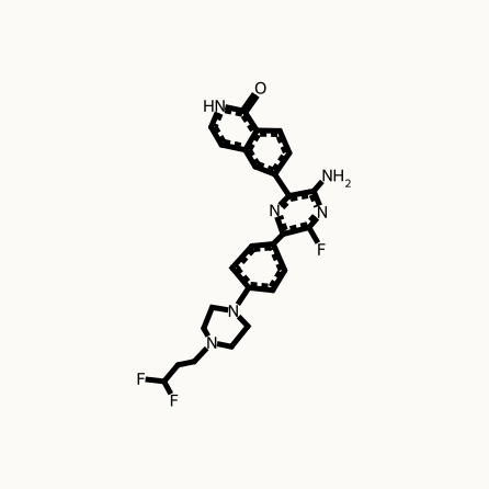 Nc1nc(F)c(-c2ccc(N3CCN(CCC(F)F)CC3)cc2)nc1-c1ccc2c(=O)[nH]ccc2c1